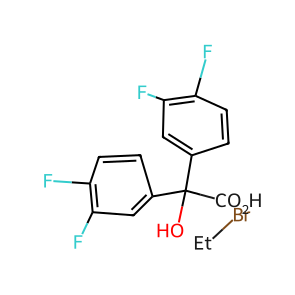 CCBr.O=C(O)C(O)(c1ccc(F)c(F)c1)c1ccc(F)c(F)c1